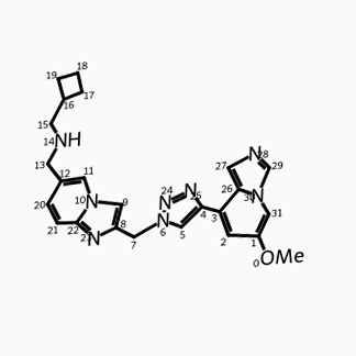 COc1cc(-c2cn(Cc3cn4cc(CNCC5CCC5)ccc4n3)nn2)c2cncn2c1